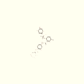 O=C(Nc1ccc(S(=O)(=O)N2CCOCC2)cc1)c1cc(Cl)ccc1NS(=O)(=O)c1ccc(F)cc1